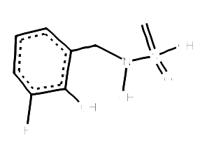 [CH2]c1c(F)cccc1CN(C)S(C)(=O)=O